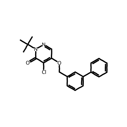 CC(C)(C)n1ncc(OCc2cccc(-c3ccccc3)c2)c(Cl)c1=O